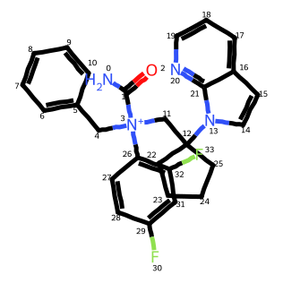 NC(=O)[N+](Cc1ccccc1)(CC1(n2ccc3cccnc32)CCCC1)c1ccc(F)cc1F